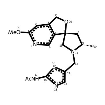 COc1cc2c(cn1)[C@]1(C[C@H](C)N(Cc3cnc(NC(C)=O)s3)C1)OC2